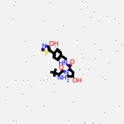 CC(C)(C)[C@H](N)C(=O)N1C[C@H](O)C[C@H]1C(=O)NCc1ccc(-c2scnc2O)cc1